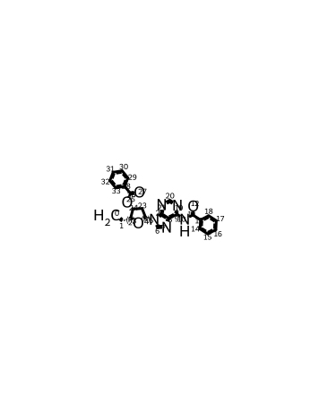 C=C[C@H]1O[C@@H](n2cnc3c(NC(=O)c4ccccc4)ncnc32)CC1OC(=O)c1ccccc1